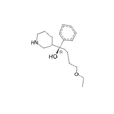 CCOCCC[C@@](O)(c1ccccc1)C1CCCNC1